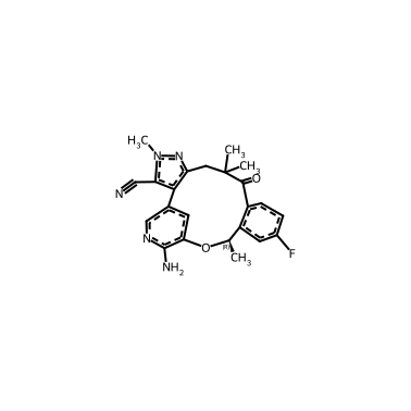 C[C@H]1Oc2cc(cnc2N)-c2c(nn(C)c2C#N)CC(C)(C)C(=O)c2ccc(F)cc21